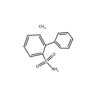 C.NS(=O)(=O)c1ccccc1-c1ccccc1